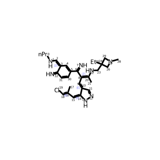 CCCN/C=C1/C=C(C(=N)C(/C=c2\cn[nH]\c2=C\C(C)=C\Cl)=C(/C)NCC2(CC)CN(C)C2)C=CC1=N